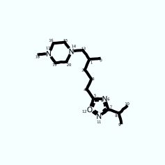 CC(CCCc1nc(C(C)C)no1)CN1CCN(C)CC1